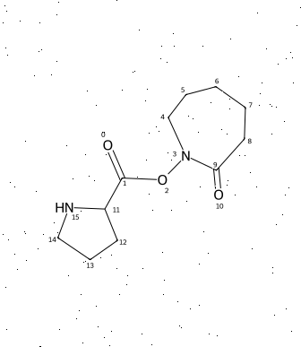 O=C(ON1CCCCCC1=O)C1CCCN1